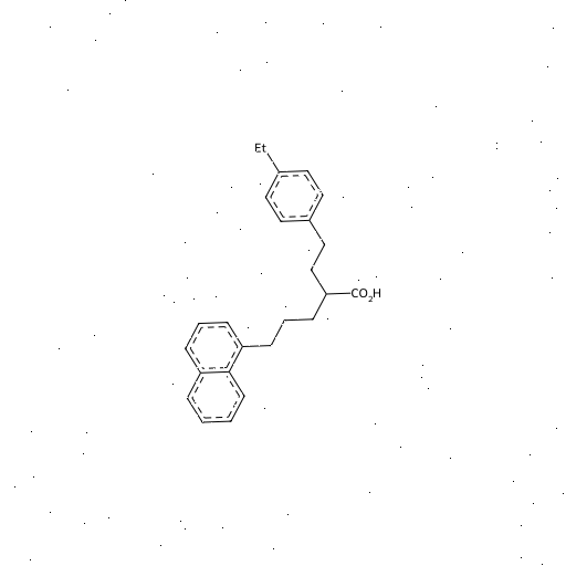 CCc1ccc(CCC(CCCc2cccc3ccccc23)C(=O)O)cc1